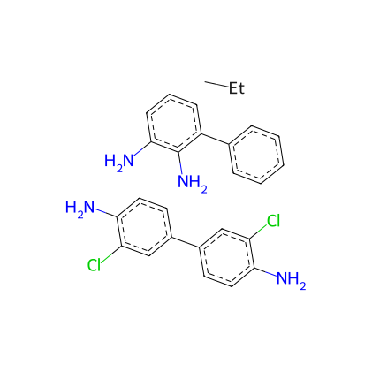 CCC.Nc1ccc(-c2ccc(N)c(Cl)c2)cc1Cl.Nc1cccc(-c2ccccc2)c1N